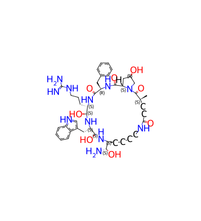 C[C@H]1CCC(=O)NCCCC[C@@H]([C@@H](N)O)N[C@@H](O)[C@H](Cc2c[nH]c3ccccc23)N[C@@H](O)[C@H](CCCNC(=N)N)NC(=O)[C@@H](Cc2ccccc2)NC(=O)[C@@H]2C[C@@H](O)CN2C1=O